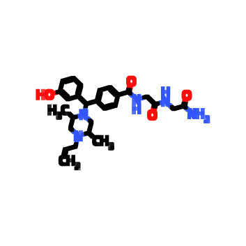 C=CCN1CC(C)N(C(c2ccc(C(=O)NCC(=O)NCC(N)=O)cc2)c2cccc(O)c2)CC1C